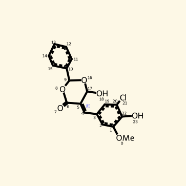 COc1cc(/C=C2/C(=O)OC(c3ccccc3)OC2O)cc(Cl)c1O